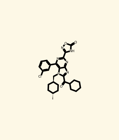 C[C@H]1CC[C@H](Cn2c(C(=O)C3CCCCC3)nc3nc(-c4noc(=O)[nH]4)nc(-c4cccc(Cl)c4)c32)CC1